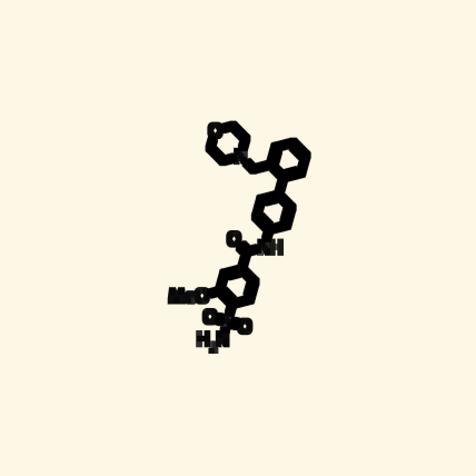 COc1cc(C(=O)Nc2ccc(-c3ccccc3CN3CCOCC3)cc2)ccc1S(N)(=O)=O